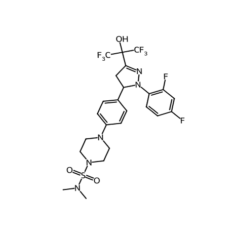 CN(C)S(=O)(=O)N1CCN(c2ccc(C3CC(C(O)(C(F)(F)F)C(F)(F)F)=NN3c3ccc(F)cc3F)cc2)CC1